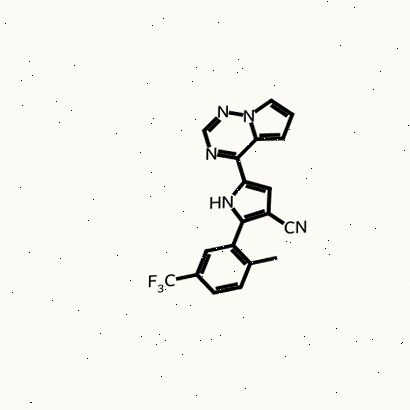 Cc1ccc(C(F)(F)F)cc1-c1[nH]c(-c2ncnn3cccc23)cc1C#N